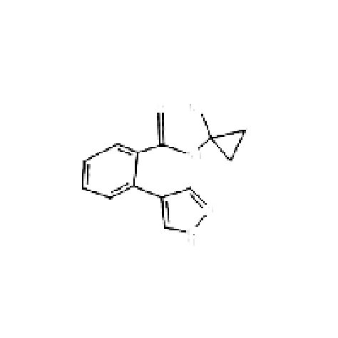 N#CC1(NC(=O)c2ccccc2-c2cn[nH]c2)CC1